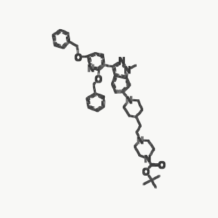 Cn1nc(-c2ccc(OCc3ccccc3)nc2OCc2ccccc2)c2ccc(N3CCC(CCN4CCN(C(=O)OC(C)(C)C)CC4)CC3)cc21